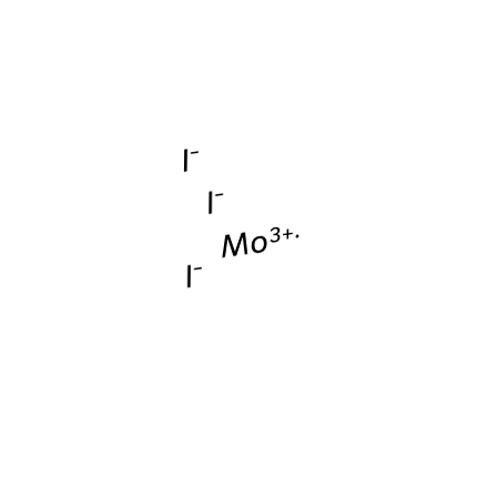 [I-].[I-].[I-].[Mo+3]